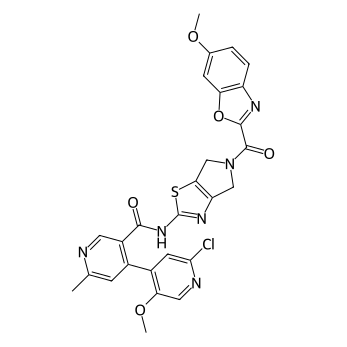 COc1ccc2nc(C(=O)N3Cc4nc(NC(=O)c5cnc(C)cc5-c5cc(Cl)ncc5OC)sc4C3)oc2c1